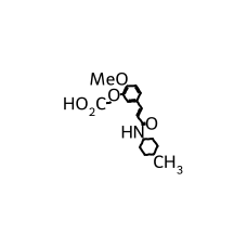 COc1ccc(C=CC(=O)NC2CCC(C)CC2)cc1OCC(=O)O